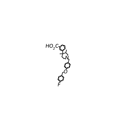 CC1CN(Cc2ccc(OCc3ccc(F)cc3)cc2)CCC1(C)c1cccc(C(=O)O)c1